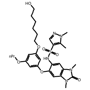 CCCOc1cc(OCCCCCCO)cc(Oc2cc3c(cc2NS(=O)(=O)c2cnn(C)c2C)n(C)c(=O)n3C)c1